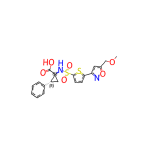 COCc1cc(-c2ccc(S(=O)(=O)N[C@@]3(C(=O)O)C[C@@H]3c3ccccc3)s2)no1